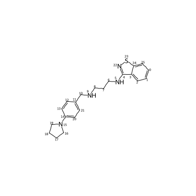 c1ccc2c(NCCCNCc3ccc(N4CCCC4)cc3)nsc2c1